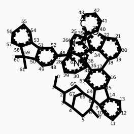 CCC1CC2CC(C)C3(c4ccccc4-c4cc(-c5cccc6oc7ccc8ccccc8c7c56)c(-c5nc(-c6ccccc6)nc(-c6ccc7c(c6)-c6ccccc6C7(C)C)n5)cc43)C(C1)C2